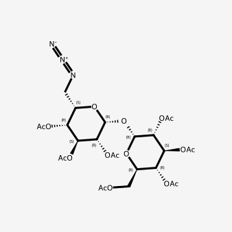 CC(=O)OC[C@H]1O[C@H](O[C@H]2O[C@@H](CN=[N+]=[N-])[C@@H](OC(C)=O)[C@H](OC(C)=O)[C@H]2OC(C)=O)[C@H](OC(C)=O)[C@@H](OC(C)=O)[C@@H]1OC(C)=O